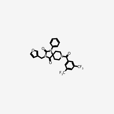 O=C(c1cc(C(F)(F)F)cc(C(F)(F)F)c1)N1CCC2(CC1)C(=O)N(Cc1ccoc1)C(=O)N2c1ccccc1